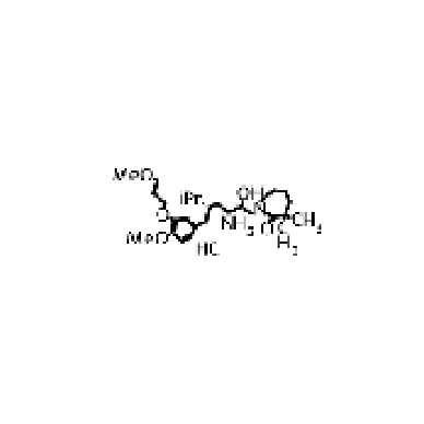 COCCCOc1cc(C[C@@H](C[C@H](N)[C@@H](O)CN2CCCCC(C)(C)C2=O)C(C)C)ccc1OC.Cl